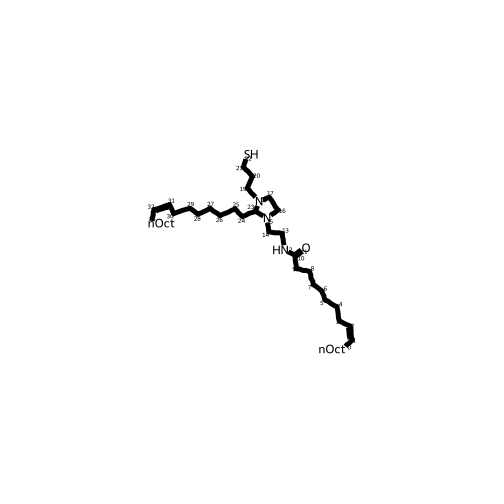 CCCCCCCC/C=C\CCCCCCCC(=O)NCCN1CCN(CCCS)C1CCCCCCC/C=C\CCCCCCCC